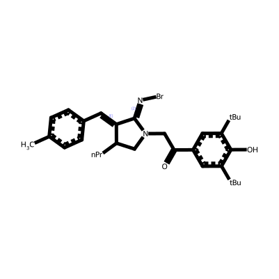 CCCC1CN(CC(=O)c2cc(C(C)(C)C)c(O)c(C(C)(C)C)c2)C(=N\Br)/C1=C/c1ccc(C)cc1